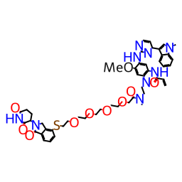 C=CC(=O)Nc1cc(Nc2nccc(-c3cn(C)c4ccccc34)n2)c(OC)cc1N(C)CCN(C)C(=O)COCCOCCOCCOCCSc1cccc2c1CN(C1CCC(=O)NC1=O)C2=O